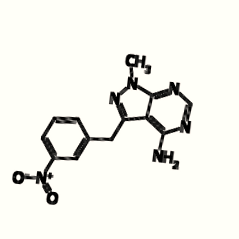 Cn1nc(Cc2cccc([N+](=O)[O-])c2)c2c(N)ncnc21